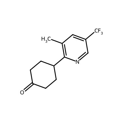 Cc1cc(C(F)(F)F)cnc1C1CCC(=O)CC1